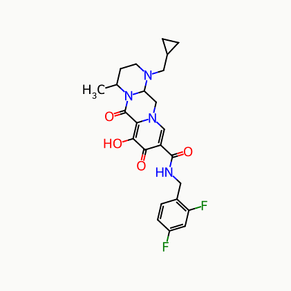 CC1CCN(CC2CC2)C2Cn3cc(C(=O)NCc4ccc(F)cc4F)c(=O)c(O)c3C(=O)N12